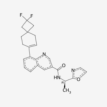 C[C@@H](NC(=O)c1cnc2c(C3=CCC4(CC3)CC(F)(F)C4)cccc2c1)c1ncco1